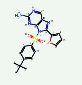 CC(C)(C)c1ccc(S(=O)(=O)n2c(-c3ccco3)nc3cnc(N)nc32)cc1